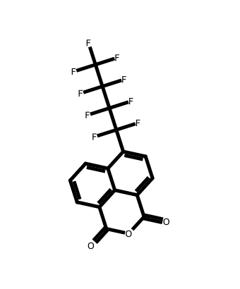 O=C1OC(=O)c2ccc(C(F)(F)C(F)(F)C(F)(F)C(F)(F)F)c3cccc1c23